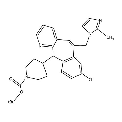 Cc1nccn1CC1=Cc2cccnc2C(C2CCN(C(=O)OC(C)(C)C)CC2)c2ccc(Cl)cc21